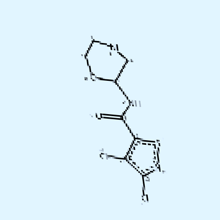 O=C(NC1CNCCO1)c1snc(Cl)c1Cl